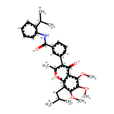 COc1c(OC)c(OC)c2c(=O)c(-c3cccc(C(=O)Nc4ccccc4C(C)C)c3)c(C)oc2c1CC(C)C